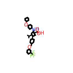 CC(C)c1cc(Nc2ccc(Oc3ccccc3)cc2)c(C(=O)O)cc1-c1ccc(COc2cccc(C(F)(F)F)c2)cc1